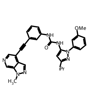 COc1cccc(-n2nc(C(C)C)cc2NC(=O)Nc2cccc(C#Cc3cncc4c3cnn4C)c2)c1